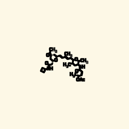 CC(=O)OC(C)/C=C\C(=O)NC1CC(C)C(C/C=C(C)/C=C/[C@@H]2C[C@]3(C[C@@H](CC(=O)NC4CCC4)O2)OC3C)OC1C